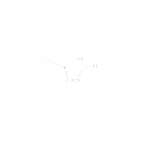 CC(=O)O.CCCC(O)OC